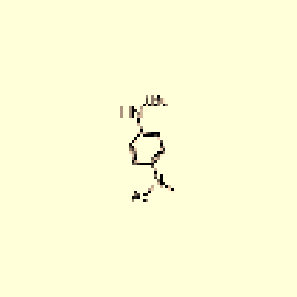 CC(=O)N(C)c1ccc(NC(C)(C)C)cc1